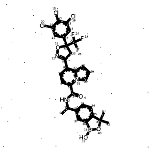 CC(NC(=O)c1ccc(C2=NOC(c3cc(Cl)c(Cl)c(Cl)c3)(C(F)(F)F)C2)c2cccn12)c1ccc2c(c1)B(O)OC2(C)C